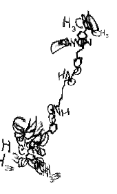 CC[C@H](C(=O)N1CCCC[C@H]1C(=O)O[C@H](CCc1ccc(OC)c(OC)c1)c1cccc(OCC(=O)NCCCCCCCC(=O)NCCOc2ccc(CCc3nc4cc(-c5c(C)noc5C)ccc4n3CCN3CCOCC3)cc2)c1)c1cc(OC)c(OC)c(OC)c1